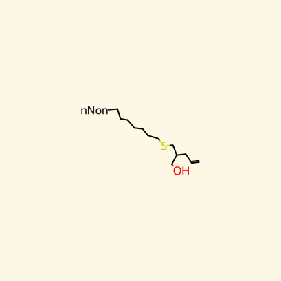 C=CCC(CO)CSCCCCCCCCCCCCCCCC